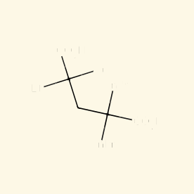 CCCC(CCC)(CC(CC)(CC)C(=O)O)C(=O)O